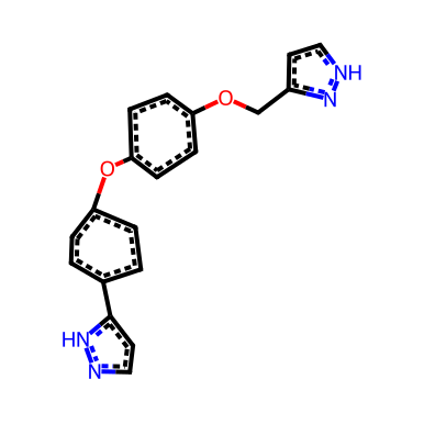 c1cc(-c2ccc(Oc3ccc(OCc4cc[nH]n4)cc3)cc2)[nH]n1